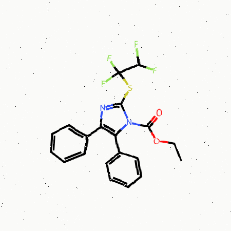 CCOC(=O)n1c(SC(F)(F)C(F)F)nc(-c2ccccc2)c1-c1ccccc1